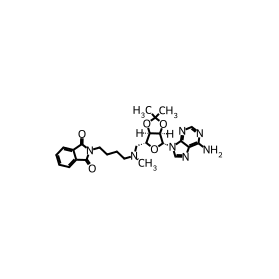 CN(CCCCN1C(=O)c2ccccc2C1=O)C[C@H]1O[C@@H](n2cnc3c(N)ncnc32)[C@@H]2OC(C)(C)O[C@@H]21